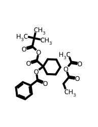 CC(C)(C)C(=O)OC(=O)C1(OC(=O)c2ccccc2)CCCCC1.CCC(=O)OC(C)=O